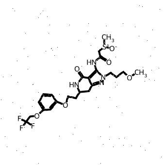 COCCCn1nc2c(c1NC(=O)C[S+](C)[O-])C(=O)NC(CCOc1cccc(OCC(F)(F)F)c1)C2